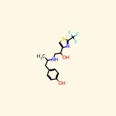 CC(Cc1ccc(O)cc1)NCC(O)c1csc(C(F)(F)F)n1